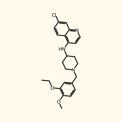 CCOc1cc(CN2CCC(Nc3ccnc4cc(Cl)ccc34)CC2)ccc1OC